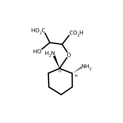 N[C@@H]1CCCC[C@]1(N)OC(C(=O)O)C(O)C(=O)O